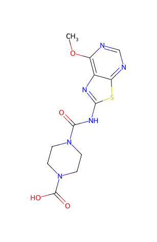 COc1ncnc2sc(NC(=O)N3CCN(C(=O)O)CC3)nc12